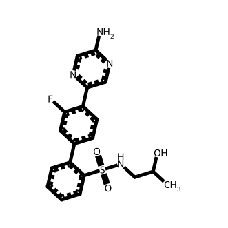 CC(O)CNS(=O)(=O)c1ccccc1-c1ccc(-c2cnc(N)cn2)c(F)c1